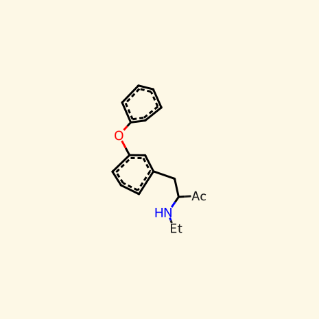 CCNC(Cc1cccc(Oc2ccccc2)c1)C(C)=O